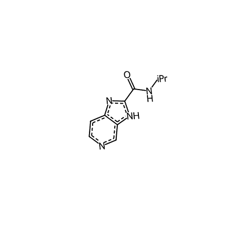 CC(C)NC(=O)c1nc2ccncc2[nH]1